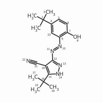 CC(C)(C)c1ccc(O)c(N=Nc2n[nH]c(C(C)(C)C)c2C#N)c1